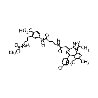 Cc1sc2c(c1C)C(c1ccc(Cl)cc1)=N[C@@H](CC(=O)NCCCC(=O)Nc1ccc(C(=O)O)c(CCCNC(=O)OC(C)(C)C)c1)c1nnc(C)n1-2